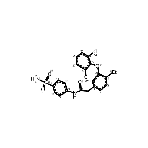 CCc1ccc(CC(=O)Nc2ccc(S(N)(=O)=O)cc2)cc1Oc1c(Cl)cccc1Cl